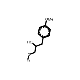 CCOCC(O)Cc1ccc(OC)cc1